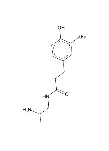 CC(N)CNC(=O)CCc1ccc(O)c(C(C)(C)C)c1